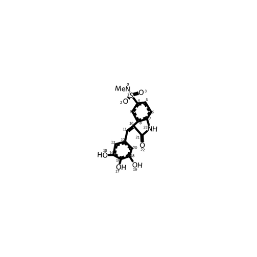 CNS(=O)(=O)c1ccc2c(c1)C(=Cc1cc(O)c(O)c(O)c1)C(=O)N2